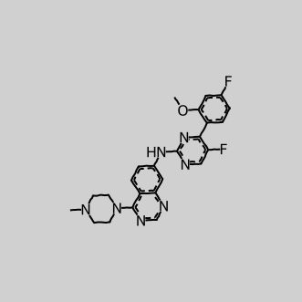 COc1cc(F)ccc1-c1nc(Nc2ccc3c(N4CCN(C)CC4)ncnc3c2)ncc1F